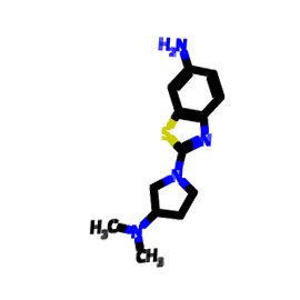 CN(C)C1CCN(c2nc3ccc(N)cc3s2)C1